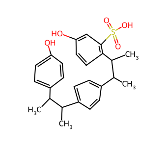 CC(c1ccc(O)cc1)C(C)c1ccc(C(C)C(C)c2ccc(O)cc2S(=O)(=O)O)cc1